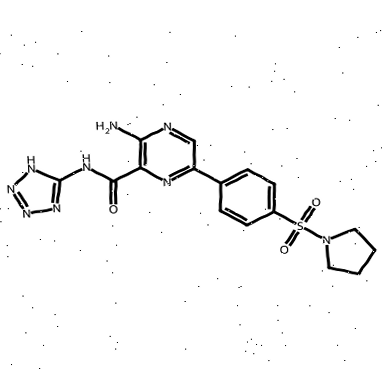 Nc1ncc(-c2ccc(S(=O)(=O)N3CCCC3)cc2)nc1C(=O)Nc1nnn[nH]1